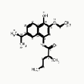 CCCC(C)C(=O)Oc1cc(OCC)c(O)c2ccc(C(C)C)cc12